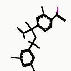 C=C(I)c1ccc(C(C)(CC(C)(C)c2cc(C)cc(C)c2)C(C)C)cc1C